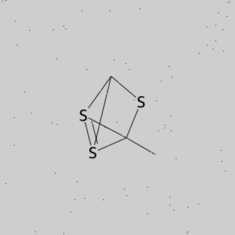 CC12SC3S1=S32